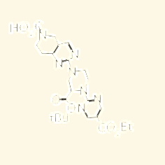 CCOC(=O)c1cnc(N2CCN(c3ncc4c(n3)CCN(C(=O)O)C4)CC2C(=O)OC(C)(C)C)nc1